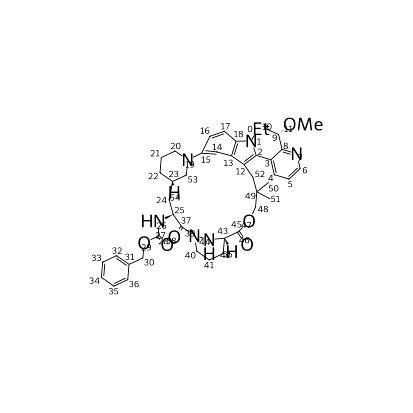 CCn1c(-c2cccnc2[C@H](C)OC)c2c3cc(ccc31)N1CCC[C@@H](C[C@H](NC(=O)OCc3ccccc3)C(=O)N3CCC[C@H](N3)C(=O)OCC(C)(C)C2)C1